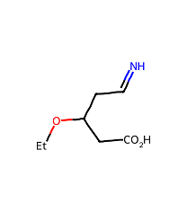 CCOC(CC=N)CC(=O)O